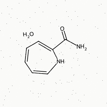 NC(=O)C1=CC=CC=CN1.O